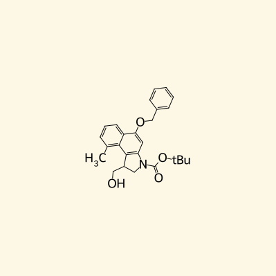 Cc1cccc2c(OCc3ccccc3)cc3c(c12)C(CO)CN3C(=O)OC(C)(C)C